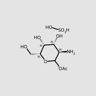 CC(=O)OC1O[C@H](CO)[C@H](O)[C@H](O)[C@H]1N.O=S(=O)(O)O